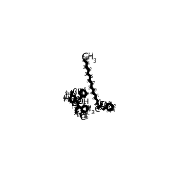 C=C[C@H]1C[N+]2(Cc3ccccc3)CC[C@H]1C[C@@H]2[C@@H](O)c1ccnc2ccccc12.CCCCCCCCCCCCCCCC[N+](C)(C)Cc1ccccc1.[Cl-].[Cl-]